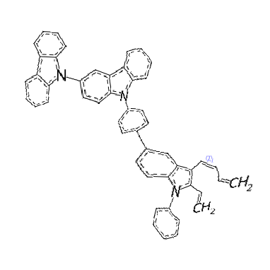 C=C/C=C\c1c(C=C)n(-c2ccccc2)c2ccc(-c3ccc(-n4c5ccccc5c5cc(-n6c7ccccc7c7ccccc76)ccc54)cc3)cc12